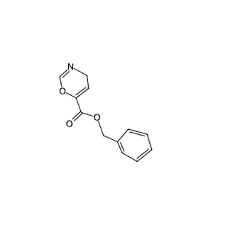 O=C(OCc1ccccc1)C1=CCN=CO1